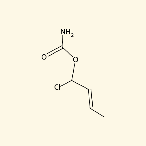 CC=CC(Cl)OC(N)=O